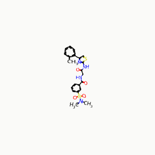 Cc1ccccc1-c1csc(NC(=O)CNC(=O)c2cccc(S(=O)(=O)N(C)C)c2)n1